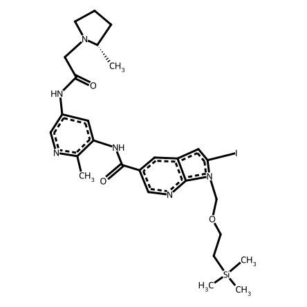 Cc1ncc(NC(=O)CN2CCC[C@@H]2C)cc1NC(=O)c1cnc2c(c1)cc(I)n2COCC[Si](C)(C)C